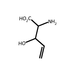 C=CC(O)C(N)C(=O)O